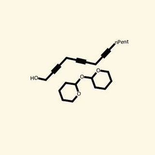 C1CCC(OC2CCCCO2)OC1.CCCCCC#CCC#CCC#CCO